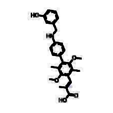 COc1c(C)c(-c2ccc(NCc3cccc(O)c3)cc2)c(OC)c(C)c1/C=C(\C)C(=O)O